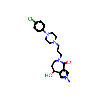 Cn1cc2c(c1)C(O)CCN(CCCN1CCN(c3ccc(Cl)cc3)CC1)C2=O